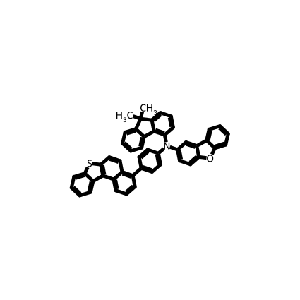 CC1(C)c2ccccc2-c2c(N(c3ccc(-c4cccc5c4ccc4sc6ccccc6c45)cc3)c3ccc4oc5ccccc5c4c3)cccc21